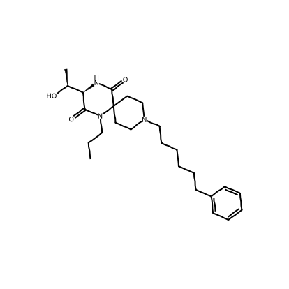 CCCN1C(=O)[C@@H]([C@H](C)O)NC(=O)C12CCN(CCCCCCc1ccccc1)CC2